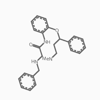 CNCCC(Oc1ccccc1NC(=O)CNCc1ccccc1)c1ccccc1